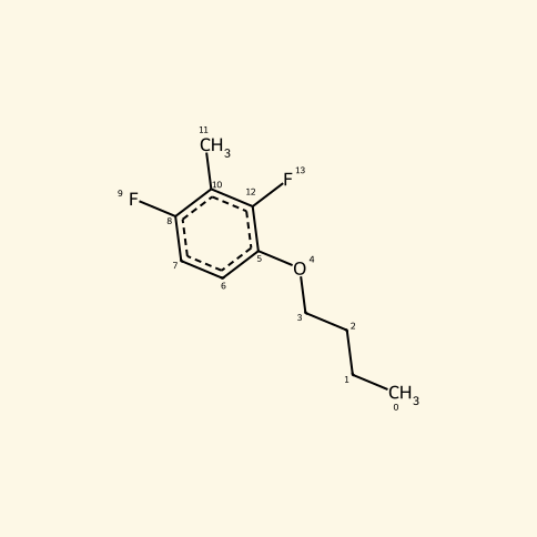 CCCCOc1ccc(F)c(C)c1F